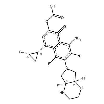 Nc1c(F)c(N2C[C@@H]3NCCO[C@@H]3C2)c(F)c2c1c(=O)c(OC(=O)O)cn2[C@@H]1C[C@@H]1F